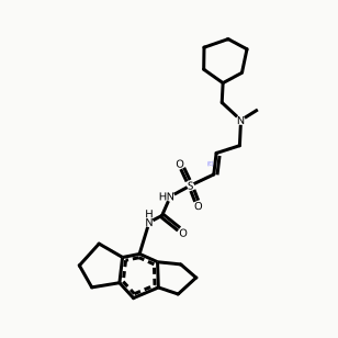 CN(C/C=C/S(=O)(=O)NC(=O)Nc1c2c(cc3c1CCC3)CCC2)CC1CCCCC1